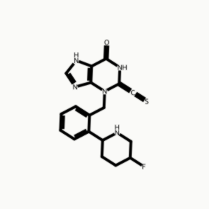 O=C1NC(=C=S)N(Cc2ccccc2C2CCC(F)CN2)c2nc[nH]c21